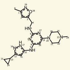 Cc1cc(CNc2nc(Nc3cc(C4CC4)n[nH]3)cc(N3CCN(C)CC3)n2)on1